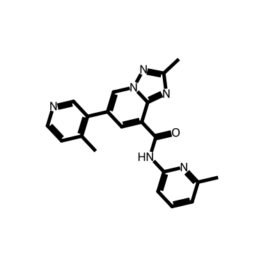 Cc1cccc(NC(=O)c2cc(-c3cnccc3C)cn3nc(C)nc23)n1